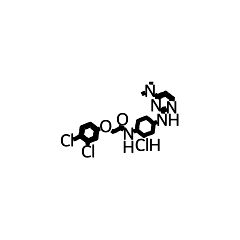 CN(C)c1ccnc(NC2CCC(NC(=O)COc3ccc(Cl)c(Cl)c3)CC2)n1.Cl